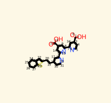 O=C(O)c1ccnc(-c2cc(C(=O)O)cc(-c3cc(/C=C/c4cc5ccccc5s4)ccn3)n2)c1